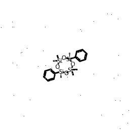 C[Si]1(C)O[Si@](C)(c2ccccc2)O[Si](C)(C)O[Si@](C)(c2ccccc2)O1